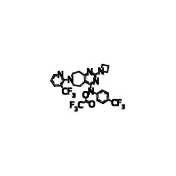 O=C(ON(c1ccc(C(F)(F)F)cc1)c1nc(N2CCC2)nc2c1CCN(c1ncccc1C(F)(F)F)CC2)C(F)(F)F